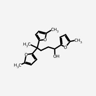 Cc1ccc(C(O)CCC(C)(c2ccc(C)o2)c2ccc(C)o2)o1